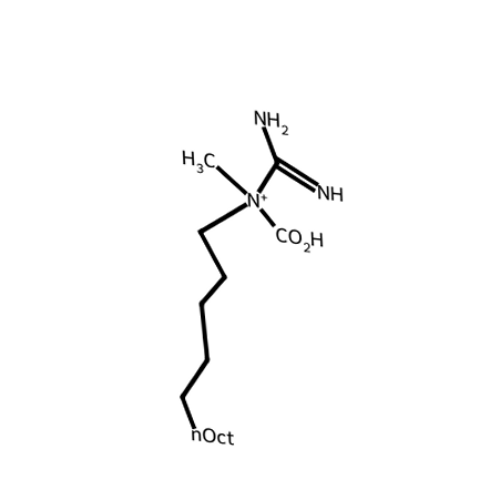 CCCCCCCCCCCCC[N+](C)(C(=N)N)C(=O)O